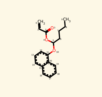 C=CC(=O)OC(CCCC)Oc1cccc2ccccc12